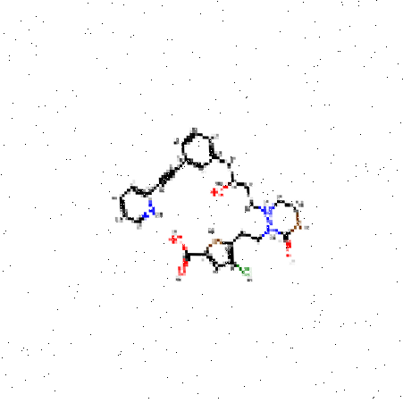 O=C(O)c1cc(Cl)c(CCN2C(=O)SCCN2CC[C@@H](O)Cc2cccc(C#Cc3ccccn3)c2)s1